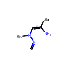 C=NN(/C=C(\N)C(C)(C)C)C(C)(C)C